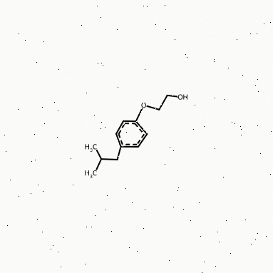 CC(C)Cc1ccc(OCCO)cc1